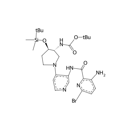 CC(C)(C)OC(=O)N[C@@H]1CN(c2ccncc2NC(=O)c2nc(Br)ccc2N)CC[C@H]1O[Si](C)(C)C(C)(C)C